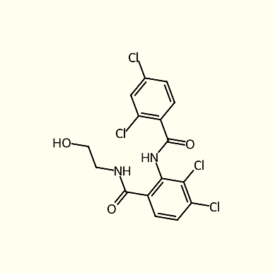 O=C(Nc1c(C(=O)NCCO)ccc(Cl)c1Cl)c1ccc(Cl)cc1Cl